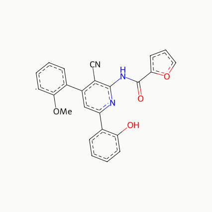 COc1[c]cccc1-c1cc(-c2ccccc2O)nc(NC(=O)c2ccco2)c1C#N